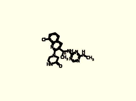 CNc1ncnc(N[C@@H](C)c2cc3cccc(Cl)c3nc2N2CCNC(=O)C2)n1